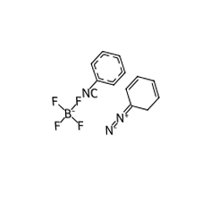 F[B-](F)(F)F.N#Cc1ccccc1.[N-]=[N+]=C1C=CC=CC1